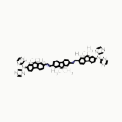 CC1(C)c2cc(/C=C/c3ccc4c(c3)C(C)(C)c3cc(N(c5cnccn5)c5cnccn5)ccc3-4)ccc2-c2ccc(/C=C/c3ccc4c(c3)C(C)(C)c3cc(N(c5cnccn5)c5cnccn5)ccc3-4)cc21